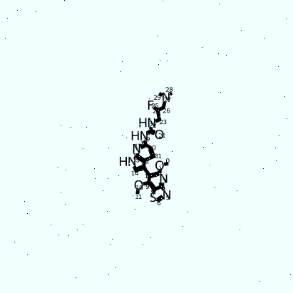 COc1nc2ncsc2c(OC)c1-c1c[nH]c2nc(NC(=O)NCC(F)CN(C)C)ccc12